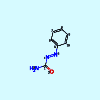 NC(=O)N=Nc1ccccc1